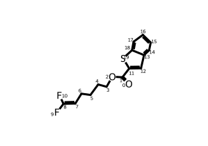 O=C(OCCCCC=C(F)F)c1cc2ccccc2s1